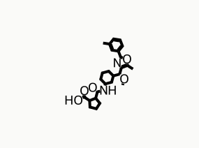 COC(c1nc(-c2cccc(C)c2)oc1C)C1CCCC(NC(=O)C2CCCC2C(=O)O)C1